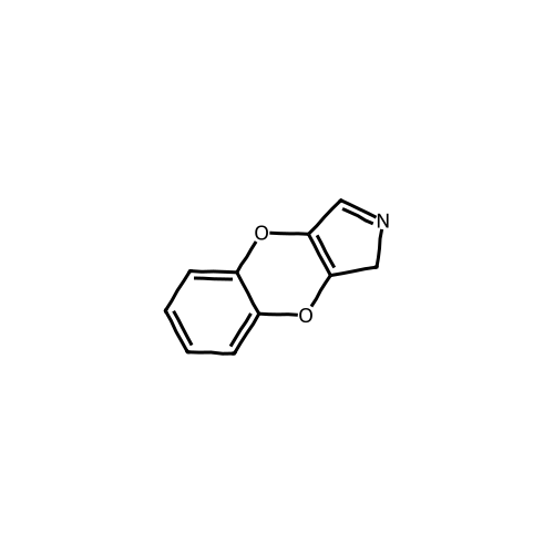 C1=NCC2=C1Oc1ccccc1O2